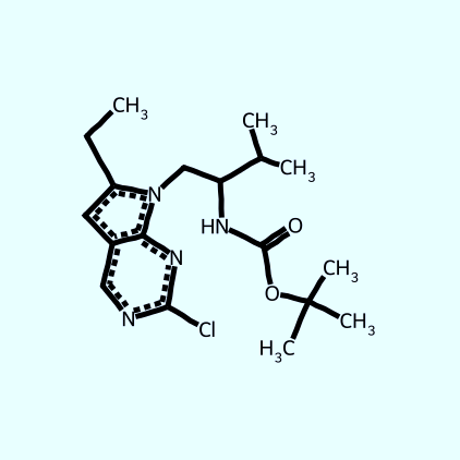 CCc1cc2cnc(Cl)nc2n1CC(NC(=O)OC(C)(C)C)C(C)C